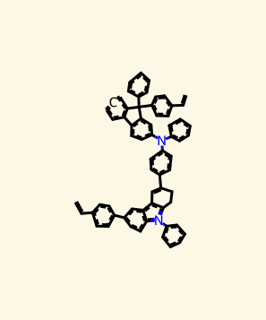 C=Cc1ccc(-c2ccc3c(c2)c2c(n3-c3ccccc3)CCC(c3ccc(N(c4ccccc4)c4ccc5c(c4)C(c4ccccc4)(c4ccc(C=C)cc4)c4ccccc4-5)cc3)=C2)cc1